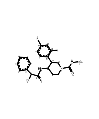 CCC(C(=O)NC1CCN(C(=O)OC(C)(C)C)CC1c1ccc(F)cc1C)c1ccccc1